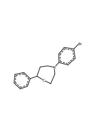 CC(C)c1ccc(N2CCCC(c3ccccc3)CC2)cc1